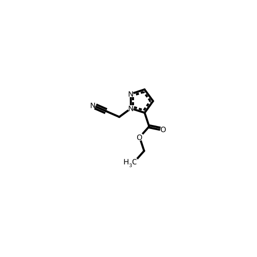 CCOC(=O)c1ccnn1CC#N